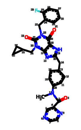 CN(C(=O)c1cnccn1)c1ccc(Cc2nc3c([nH]2)c(=O)n(Cc2ccccc2F)c(=O)n3CC2CC2)cc1